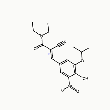 CCN(CC)C(=O)/C(C#N)=C/c1cc(OC(C)C)c(O)c([N+](=O)[O-])c1